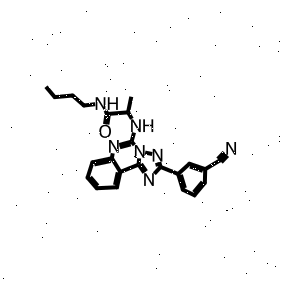 CCCCNC(=O)C(C)Nc1nc2ccccc2c2nc(-c3cccc(C#N)c3)nn12